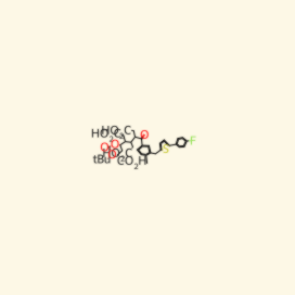 Cc1ccc(C(=O)C(CC(=O)O)C(CC(=O)O)C(CC(=O)O)C(CCC(=O)O)OC(=O)OC(C)(C)C)cc1Cc1ccc(-c2ccc(F)cc2)s1